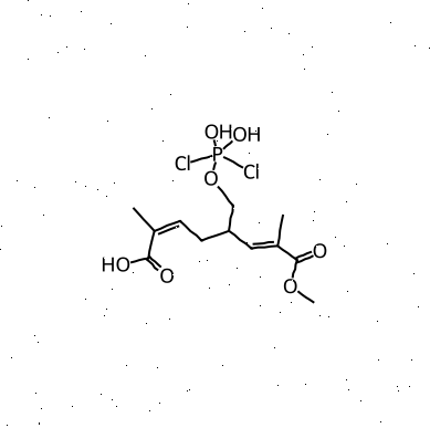 COC(=O)C(C)=CC(CC=C(C)C(=O)O)COP(O)(O)(Cl)Cl